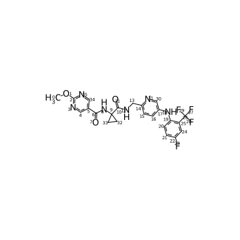 COc1ncc(C(=O)NC2(C(=O)NCc3ccc(Nc4ccc(F)cc4C(F)(F)F)cn3)CC2)cn1